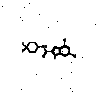 O=C(NC1CCC(F)(F)CC1)c1cc2c(Cl)cc(Cl)cc2[nH]1